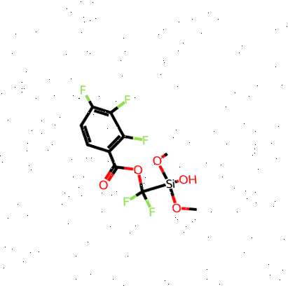 CO[Si](O)(OC)C(F)(F)OC(=O)c1ccc(F)c(F)c1F